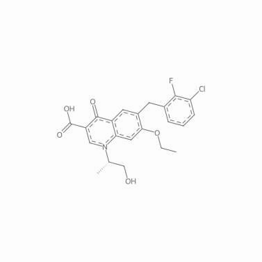 CCOc1cc2c(cc1Cc1cccc(Cl)c1F)c(=O)c(C(=O)O)cn2[C@@H](C)CO